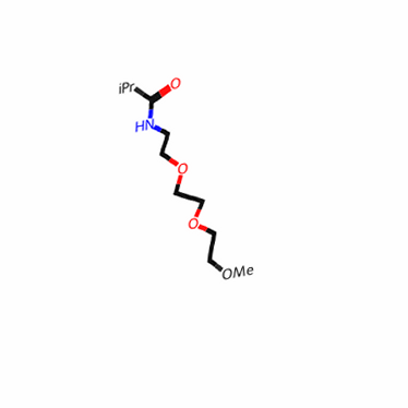 COCCOCCOCCNC(=O)C(C)C